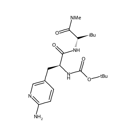 CC[C@H](C)[C@H](NC(=O)[C@H](Cc1ccc(N)nc1)NC(=O)OC(C)(C)C)C(=O)NC